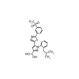 CC(C)Cc1ccccc1-n1nc(C(O)O)cc1-c1nnc(-c2cccc(S(C)(=O)=O)c2)s1